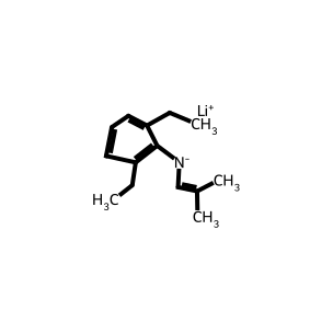 CCc1cccc(CC)c1[N-]C=C(C)C.[Li+]